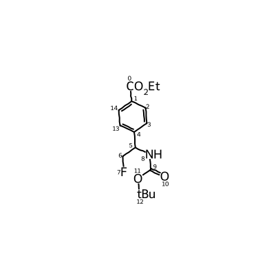 CCOC(=O)c1ccc(C(CF)NC(=O)OC(C)(C)C)cc1